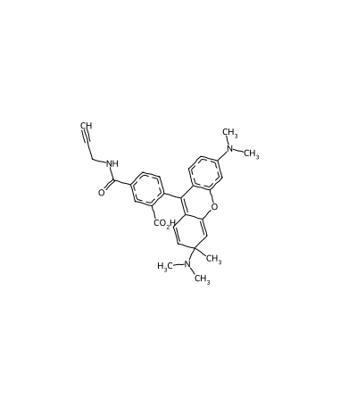 C#CCNC(=O)c1ccc(C2=C3C=CC(C)(N(C)C)C=C3Oc3cc(N(C)C)ccc32)c(C(=O)O)c1